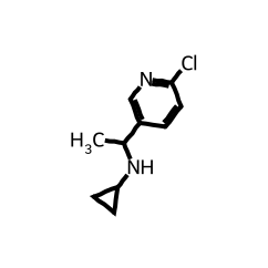 CC(NC1CC1)c1ccc(Cl)nc1